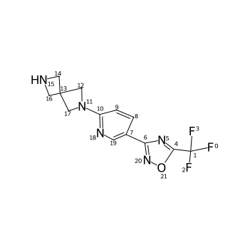 FC(F)(F)c1nc(-c2ccc(N3CC4(CNC4)C3)nc2)no1